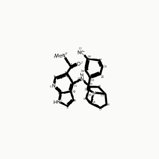 CNC(=O)c1cnc2[nH]ccc2c1NC1CC2CCC(C1)N2Cc1cccc(C#N)c1